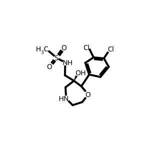 CS(=O)(=O)NC[C@@]1(O)CNCCOC1c1ccc(Cl)c(Cl)c1